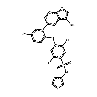 Nc1noc2ccc(-c3cc(Cl)ccc3Oc3cc(F)c(S(=O)(=O)Nc4cscn4)cc3Cl)cc12